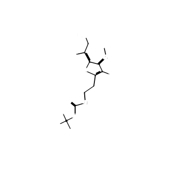 CC/C(Cl)=C1/SC(CCNC(=O)OC(C)(C)C)=C(C)/C1=N/C